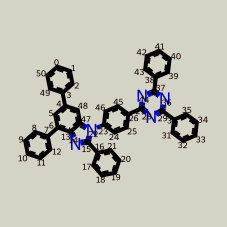 c1ccc(-c2cc(-c3ccccc3)c3nc(-c4ccccc4)n(-c4ccc(-c5nc(-c6ccccc6)nc(-c6ccccc6)n5)cc4)c3c2)cc1